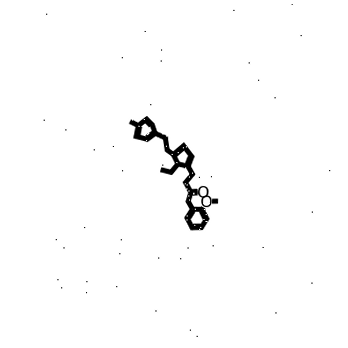 CCC1C(CCC(=O)Cc2ccccc2OC)=CC=C1CCc1ccc(C)cc1